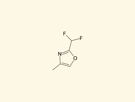 Cc1coc(C(F)F)n1